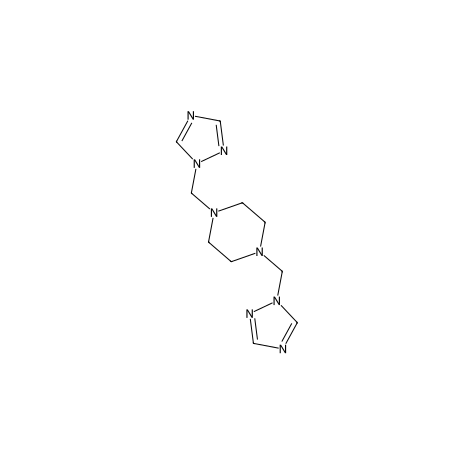 c1ncn(CN2CCN(Cn3cncn3)CC2)n1